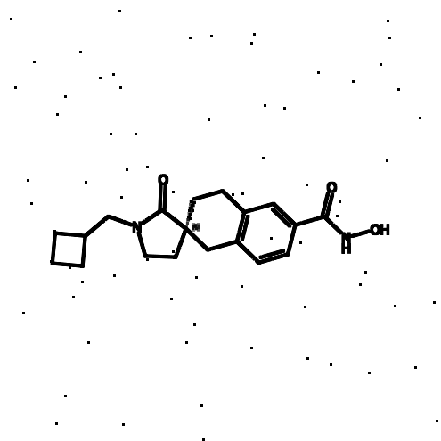 O=C(NO)c1ccc2c(c1)CC[C@@]1(CCN(CC3CCC3)C1=O)C2